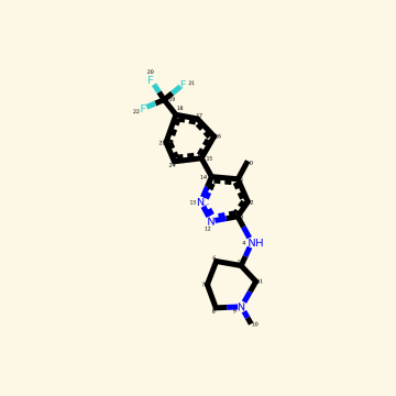 Cc1cc(NC2CCCN(C)C2)nnc1-c1ccc(C(F)(F)F)cc1